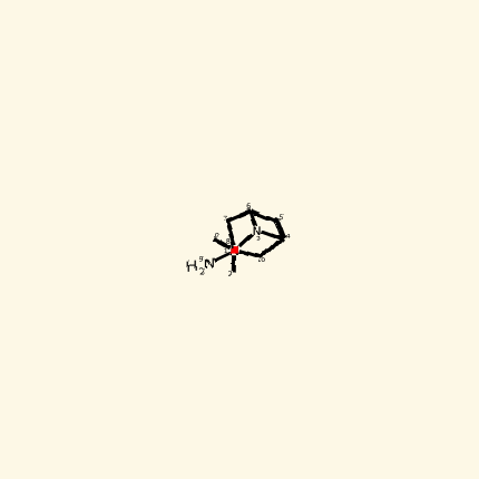 CN(C)N1C2CC1CN(N)C2